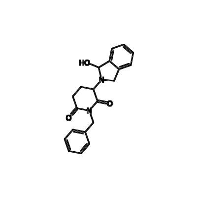 O=C1CCC(N2Cc3ccccc3C2O)C(=O)N1Cc1ccccc1